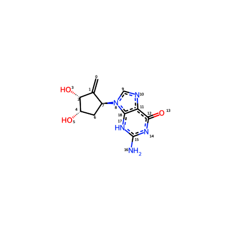 C=C1[C@@H](O)[C@@H](O)C[C@@H]1n1cnc2c(=O)nc(N)[nH]c21